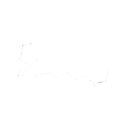 CC(C)OCCCCCOP(=O)(O)OC(C)C